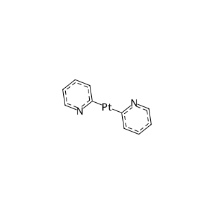 c1cc[c]([Pt][c]2ccccn2)nc1